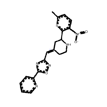 Cc1ccc([N+](=O)[O-])c(C2C/C(=C/c3noc(-c4ccccn4)n3)CCN2)n1